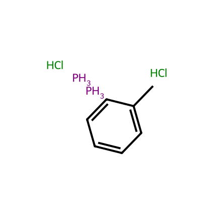 Cc1ccccc1.Cl.Cl.P.P